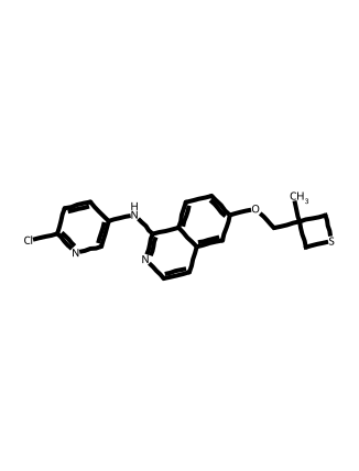 CC1(COc2ccc3c(Nc4ccc(Cl)nc4)nccc3c2)CSC1